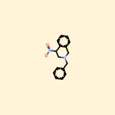 O=[N+]([O-])C1CN(Cc2ccccc2)Cc2ccccc21